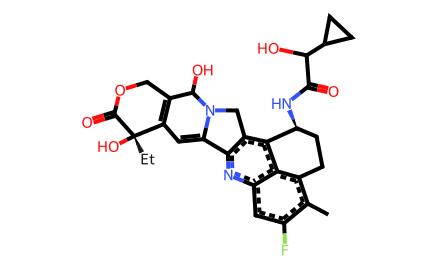 CC[C@@]1(O)C(=O)OCC2=C1C=C1c3nc4cc(F)c(C)c5c4c(c3CN1C2O)[C@@H](NC(=O)C(O)C1CC1)CC5